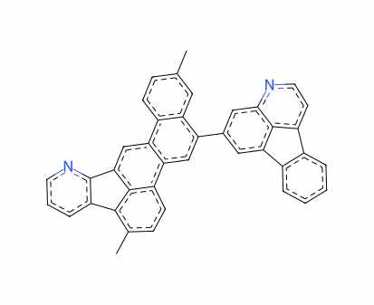 Cc1ccc2c(c1)c(-c1cc3c4c(ccnc4c1)-c1ccccc1-3)cc1c3ccc(C)c4c3c(cc21)-c1ncccc1-4